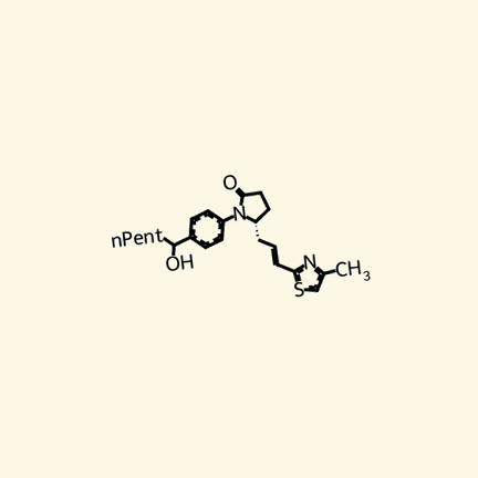 CCCCCC(O)c1ccc(N2C(=O)CC[C@@H]2C/C=C/c2nc(C)cs2)cc1